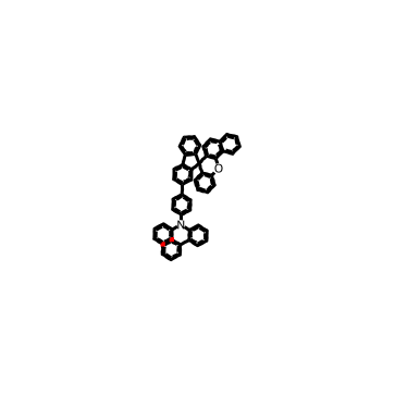 c1ccc(-c2ccccc2N(c2ccccc2)c2ccc(-c3ccc4c(c3)C3(c5ccccc5Oc5c3ccc3ccccc53)c3ccccc3-4)cc2)cc1